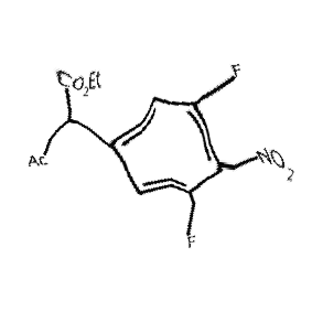 CCOC(=O)C(C(C)=O)c1cc(F)c([N+](=O)[O-])c(F)c1